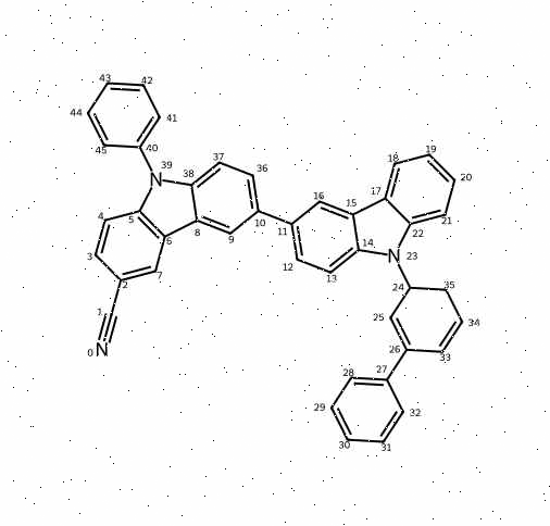 N#Cc1ccc2c(c1)c1cc(-c3ccc4c(c3)c3ccccc3n4C3C=C(c4ccccc4)C=CC3)ccc1n2-c1ccccc1